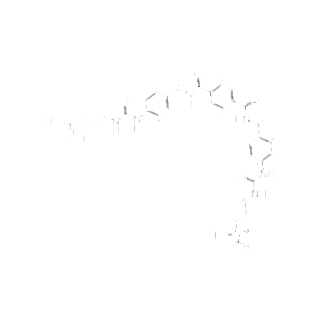 CB(C)CCCNC(=O)Nc1ccc(CNC(=O)c2ccc(C(=O)NCc3ccc(NC(=O)NCCC[N+](C)(C)C)cc3)cc2)cc1